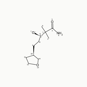 CC(C)(C(N)=O)[S@+]([O-])CC[C@@H]1CCOC1